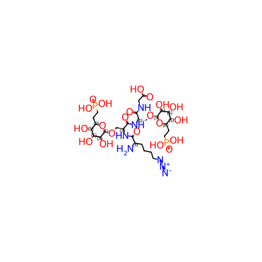 [N-]=[N+]=NCCCC[C@H](N)C(=O)N[C@@H](CO[C@H]1O[C@H](CCP(=O)(O)O)[C@@H](O)[C@H](O)[C@@H]1O)C(=O)N[C@@H](CO[C@H]1O[C@H](CCP(=O)(O)O)[C@@H](O)[C@H](O)[C@@H]1O)C(=O)NCC(=O)O